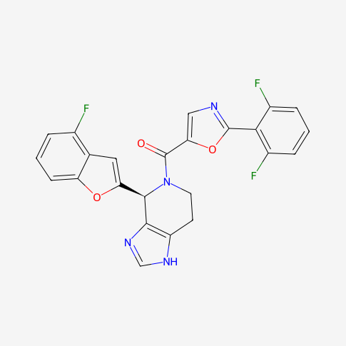 O=C(c1cnc(-c2c(F)cccc2F)o1)N1CCc2[nH]cnc2[C@H]1c1cc2c(F)cccc2o1